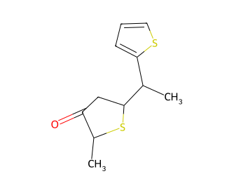 CC1SC(C(C)c2cccs2)CC1=O